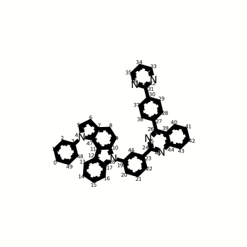 c1ccc(-n2ccc3ccc4c(c5ccccc5n4-c4cccc(-c5nc(-c6ccc(-c7ncccn7)cc6)c6ccccc6n5)c4)c32)cc1